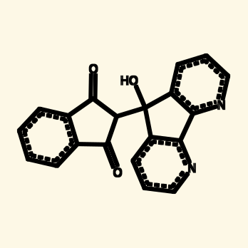 O=C1c2ccccc2C(=O)C1C1(O)c2cccnc2-c2ncccc21